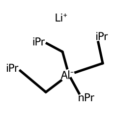 CC[CH2][Al-]([CH2]C(C)C)([CH2]C(C)C)[CH2]C(C)C.[Li+]